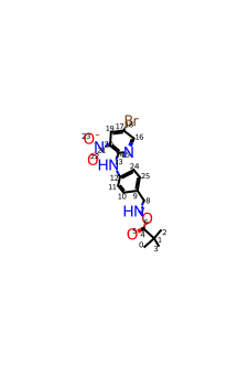 CC(C)(C)C(=O)ONCc1ccc(Nc2ncc(Br)cc2[N+](=O)[O-])cc1